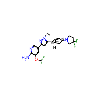 CC(C)n1nc(-c2cnc(N)c(OC(F)F)c2)cc1[C@@H]1C2=C[C@@H](N3CCC(F)(F)C3)C[C@H]21